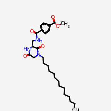 CCCCCCCCCCCCCCN1CC(=O)N[C@@H](CNC(=O)c2ccc(C(=O)OC)cc2)C1=O